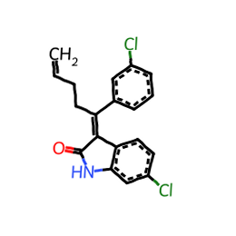 C=CCCC(=C1C(=O)Nc2cc(Cl)ccc21)c1cccc(Cl)c1